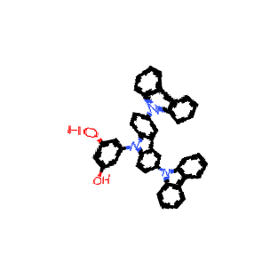 Oc1cc(O)cc(-n2c3ccc(-n4c5ccccc5c5ccccc54)cc3c3cc(-n4c5ccccc5c5ccccc54)ccc32)c1